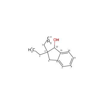 CCC1(CC)Cc2ccccc2C1O